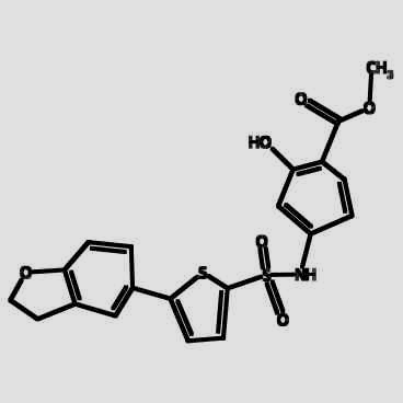 COC(=O)c1ccc(NS(=O)(=O)c2ccc(-c3ccc4c(c3)CCO4)s2)cc1O